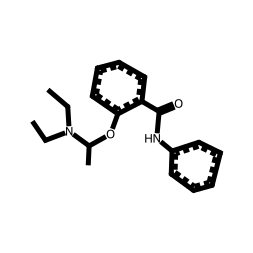 CCN(CC)C(C)Oc1ccccc1C(=O)Nc1ccccc1